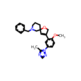 COc1ccc(-n2ncnc2C)cc1C1=CC2(CCCN(Cc3ccccc3)C2)OC1